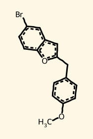 COc1ccc(Cc2cc3cc(Br)ccc3o2)cc1